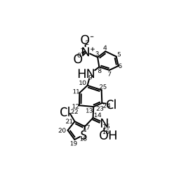 O=[N+]([O-])c1ccccc1Nc1ccc(C(=NO)c2sccc2Cl)c(Cl)c1